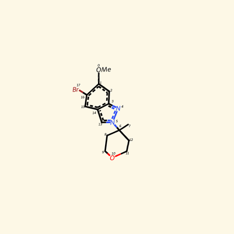 COc1cc2nn(C3(C)CCOCC3)cc2cc1Br